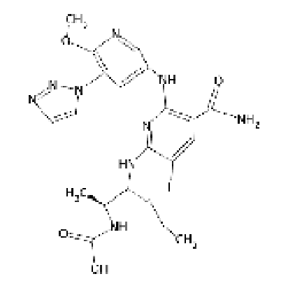 CCC[C@@H](Nc1nc(Nc2cnc(OC)c(-n3ccnn3)c2)c(C(N)=O)cc1F)[C@H](C)NC(=O)O